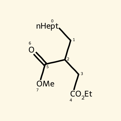 CCCCCCCCC(CC(=O)OCC)C(=O)OC